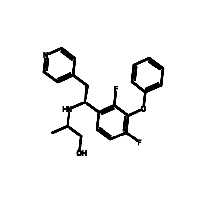 CC(CO)N[C@@H](Cc1ccncc1)c1ccc(F)c(Oc2ccccc2)c1F